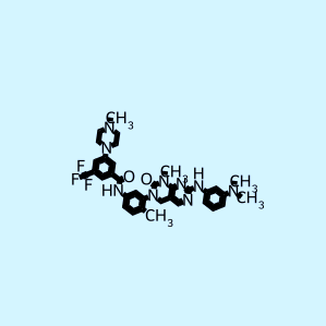 Cc1ccc(NC(=O)c2cc(N3CCN(C)CC3)cc(C(F)(F)F)c2)cc1N1Cc2cnc(Nc3cccc(N(C)C)c3)nc2N(C)C1=O